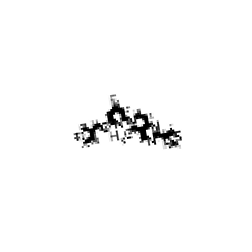 CC1c2cnc(-c3cscn3)nc2CCN1c1cc(F)cc(OCC2CCOC2)n1